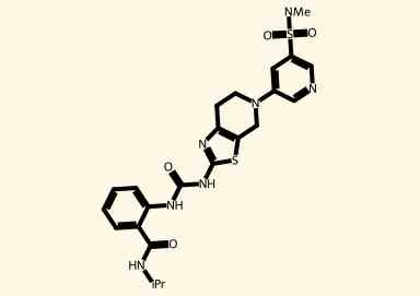 CNS(=O)(=O)c1cncc(N2CCc3nc(NC(=O)Nc4ccccc4C(=O)NC(C)C)sc3C2)c1